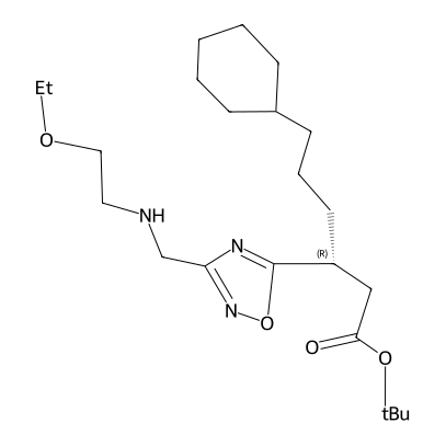 CCOCCNCc1noc([C@H](CCCC2CCCCC2)CC(=O)OC(C)(C)C)n1